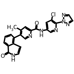 Cc1cc(C(=O)Nc2cnc(-n3nccn3)c(Cl)c2)ncc1-c1cccc2c(=O)[nH]ccc12